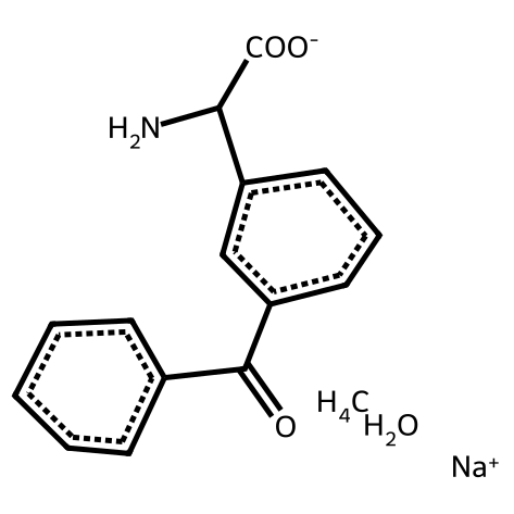 C.NC(C(=O)[O-])c1cccc(C(=O)c2ccccc2)c1.O.[Na+]